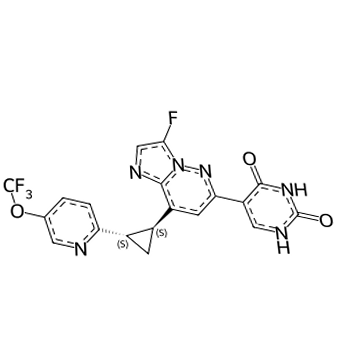 O=c1[nH]cc(-c2cc([C@H]3C[C@@H]3c3ccc(OC(F)(F)F)cn3)c3ncc(F)n3n2)c(=O)[nH]1